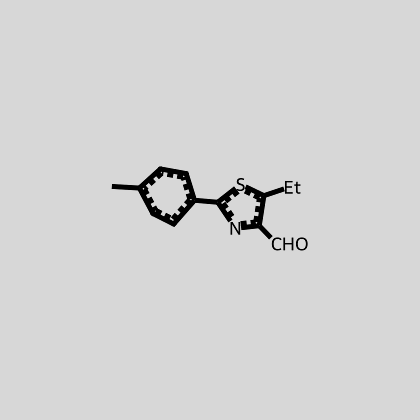 CCc1sc(-c2ccc(C)cc2)nc1C=O